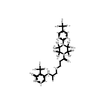 [2H]C1([2H])N(C(=O)CCOCC(C)Nc2cn[nH]c(=O)c2C(F)(F)F)C([2H])([2H])C([2H])([2H])N(c2ncc(C(F)(F)F)cn2)C1([2H])[2H]